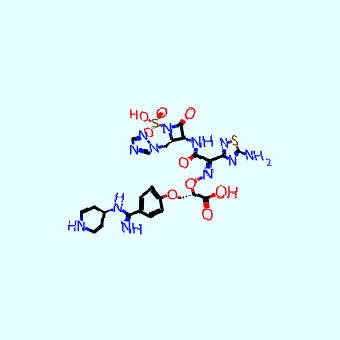 N=C(NC1CCNCC1)c1ccc(OC[C@H](O/N=C(\C(=O)N[C@@H]2C(=O)N(S(=O)(=O)O)[C@@H]2Cn2cncn2)c2nsc(N)n2)C(=O)O)cc1